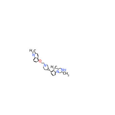 Cc1ccc2c(OCCN3CCC4C(C3)C4c3cccc(N4CC(C)NC[C@@H]4C)c3)cccc2n1